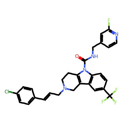 O=C(NCc1ccnc(F)c1)n1c2c(c3cc(C(F)(F)F)ccc31)CN(C/C=C/c1ccc(Cl)cc1)CC2